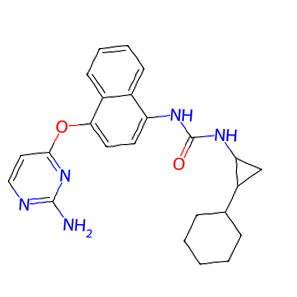 Nc1nccc(Oc2ccc(NC(=O)NC3CC3C3CCCCC3)c3ccccc23)n1